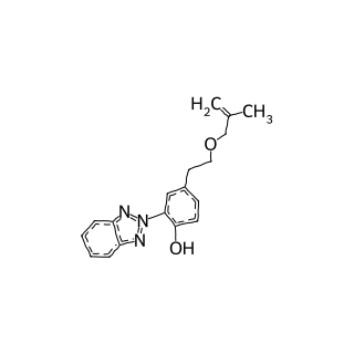 C=C(C)COCCc1ccc(O)c(-n2nc3ccccc3n2)c1